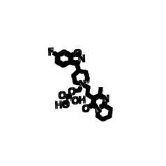 Cc1nc2n(c(=O)c1CC[N+]1(COP(=O)(O)O)CCC(c3noc4cc(F)ccc34)CC1)CCCC2